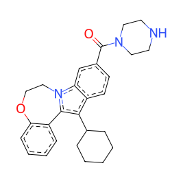 O=C(c1ccc2c(C3CCCCC3)c3n(c2c1)CCOc1ccccc1-3)N1CCNCC1